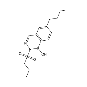 CCCCc1ccc2c(c1)C=NN(S(=O)(=O)CCC)B2O